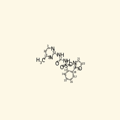 Cc1ccnc(NC(=O)NS(=O)(=O)c2ccccc2-c2ncco2)n1